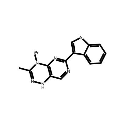 CC1=NNc2cnc(-c3csc4ccccc34)nc2N1C(C)C